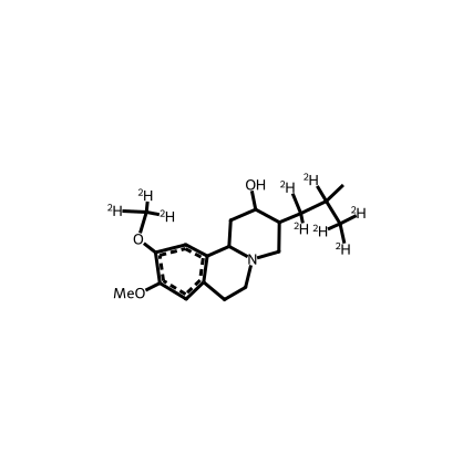 [2H]C([2H])([2H])Oc1cc2c(cc1OC)CCN1CC(C([2H])([2H])C([2H])(C)C([2H])([2H])[2H])C(O)CC21